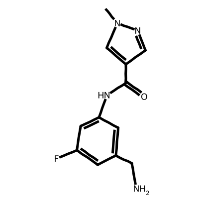 Cn1cc(C(=O)Nc2cc(F)cc(CN)c2)cn1